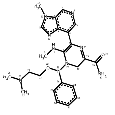 CNC1=C(c2cncc3c2ncn3C)N=C(C(N)=O)CN1N(OCCN(C)C)c1ccccc1